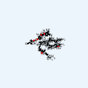 C[C@](O)(CS(=O)(=O)c1ccc(F)cc1)C(=O)Nc1ccc(C#N)c(C(F)(F)F)c1.Cc1c(N)nc([C@H](CC(N)=O)NC[C@H](N)C(N)=O)nc1C(=O)N[C@H](C(=O)N[C@H](C)[C@@H](O)[C@H](C)C(=O)N[C@H](C(=O)NCCc1nc(-c2nc(C(=O)NCCC[S+](C)C)cs2)cs1)[C@@H](C)O)[C@@H](O[C@@H]1O[C@@H](CO)[C@H](O)[C@@H](O)[C@@H]1O[C@@H]1O[C@@H](CO)[C@H](O)[C@@H](OC(N)=O)[C@@H]1O)c1cnc[nH]1.O=NN(CCCl)C(=O)NCCCl